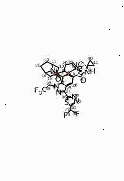 N#CC1(NS(=O)(=O)c2cc(C3=CC4CCC(C3)N4C(=O)C3CCCC3)c3c(c2)c(-c2nnc(C(F)F)s2)nn3CC(F)(F)F)CC1